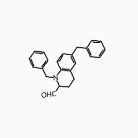 O=CC1CCc2cc(Cc3ccccc3)ccc2N1Cc1ccccc1